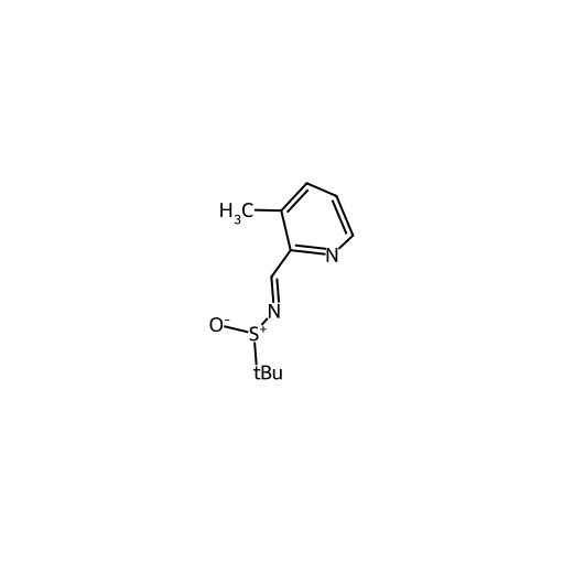 Cc1cccnc1C=N[S+]([O-])C(C)(C)C